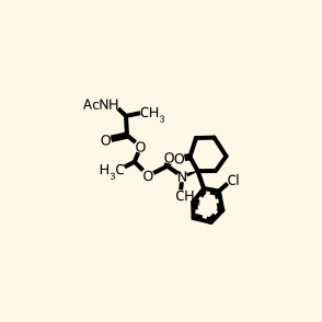 CC(=O)NC(C)C(=O)OC(C)OC(=O)N(C)[C@]1(c2ccccc2Cl)CCCCC1=O